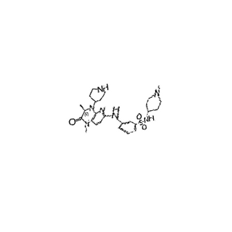 C[C@@H]1C(=O)N(C)c2ccc(Nc3cccc(S(=O)(=O)NC4CCN(C)CC4)c3)nc2N1C1CCNCC1